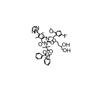 COc1ccc(F)cc1[C@H](Cn1c(=O)n(C(C)(C)C(=O)O[Si](c2ccccc2)(c2ccccc2)C(C)(C)C)c(=O)c2c(C)c(-n3nccn3)sc21)OCCC(O)CO